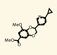 COC(=O)c1cc(OC)c2c(c1)OCC(c1ccc(C3CC3)nc1)O2